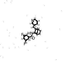 O=C(NC1C2CCN(CC2)C1Cc1cccnc1)c1cc(F)cc(F)c1